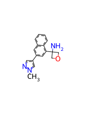 Cn1cc(-c2cc(C3(N)COC3)c3ccccc3c2)cn1